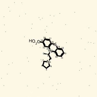 C[C@H](CN1CCCC1)N1c2ccccc2Sc2ccc(C(=O)O)cc21